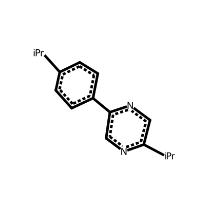 CC(C)c1ccc(-c2cnc(C(C)C)cn2)cc1